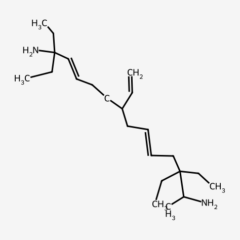 C=CC(C/C=C/CC(CC)(CC)C(C)N)CC/C=C/C(N)(CC)CC